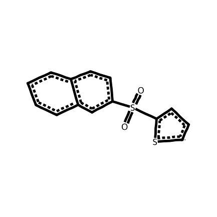 O=S(=O)(c1ccc2ccccc2c1)c1cc[c]s1